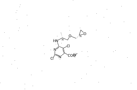 C[C@H](COC[C@@H]1CO1)Nc1nc(Cl)nc(C(=O)[O-])c1Cl.[Li+]